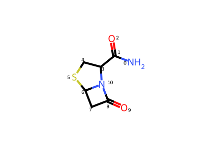 NC(=O)C1CSC2CC(=O)N21